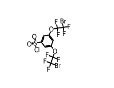 O=S(=O)(Cl)c1cc(OC(F)(F)C(F)(F)Br)cc(OC(F)(F)C(F)(F)Br)c1